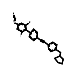 Fc1cc(N=C=S)cc(F)c1-c1ccc(C#Cc2ccc(CC3CCCC3)cc2)cc1